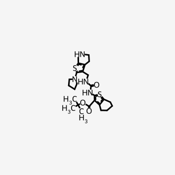 CC(C)(C)OC(=O)c1c(NC(=O)NCc2c(N3CCCC3)sc3c2CCNC3)sc2c1CCCC2